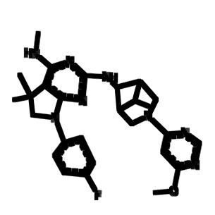 CNc1nc(NC2C3CN(c4cc(OC)ncn4)CC2C3C)nc2c1C(C)(C)CN2c1ccc(F)cc1